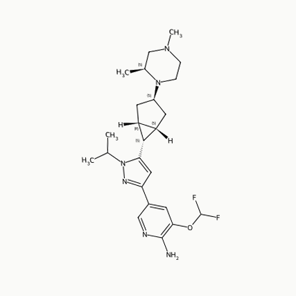 CC(C)n1nc(-c2cnc(N)c(OC(F)F)c2)cc1[C@@H]1[C@@H]2C[C@@H](N3CCN(C)C[C@@H]3C)C[C@@H]21